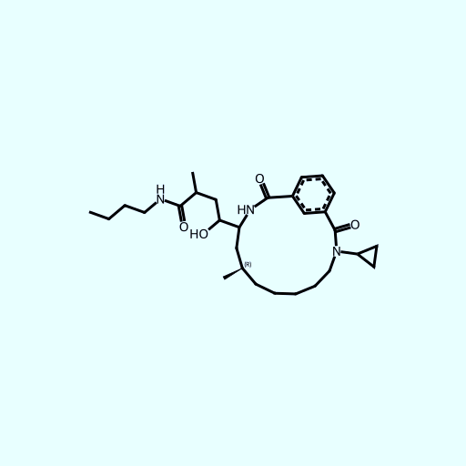 CCCCNC(=O)C(C)CC(O)C1C[C@H](C)CCCCCN(C2CC2)C(=O)c2cccc(c2)C(=O)N1